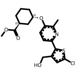 COC(=O)[C@H]1CCC[C@H](Oc2ccc(-c3sc(Cl)cc3CO)nc2C)C1